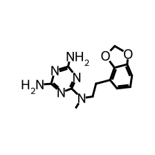 CN(CCc1cccc2c1OCO2)c1nc(N)nc(N)n1